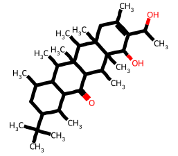 CC1=C(C(C)O)C(O)C2(C)C(C)C3C(=O)C4C(C)C(C(C)(C)C)CC(C)C4C(C)C3(C)C(C)C2(C)C1